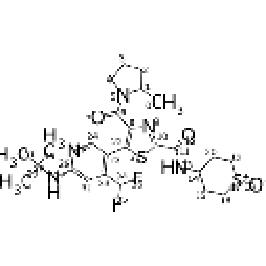 CC1CCCN1C(=O)c1nc(C(=O)NC2CC[S+]([O-])CC2)sc1-c1cnc(NC(C)(C)C)cc1C(F)F